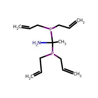 C=CCP(CC=C)C(C)(N)P(CC=C)CC=C